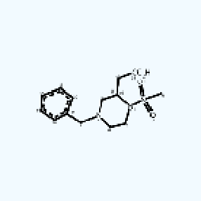 CS(=O)(=O)N1CCN(Cc2ccccc2)C[C@H]1CC(=O)O